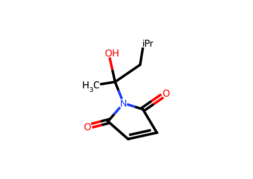 CC(C)CC(C)(O)N1C(=O)C=CC1=O